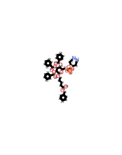 N#CCCOP(=O)(OCCC#N)OCC1O[C@H](OCCCCC(=O)OCc2ccccc2)C(OC(=O)c2ccccc2)C(OC(=O)c2ccccc2)[C@@H]1OC(=O)c1ccccc1